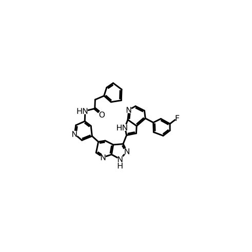 O=C(Cc1ccccc1)Nc1cncc(-c2cnc3[nH]nc(-c4cc5c(-c6cccc(F)c6)ccnc5[nH]4)c3c2)c1